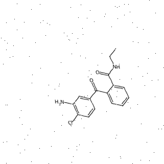 CCNC(=O)c1ccccc1C(=O)c1ccc(Cl)c(N)c1